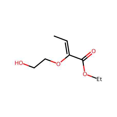 CC=C(OCCO)C(=O)OCC